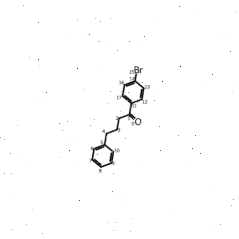 O=C(CCCc1ccccc1)c1ccc(Br)cc1